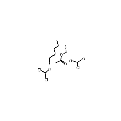 CCCCCC.CCOC(C)=O.ClC(Cl)Cl.ClC(Cl)Cl